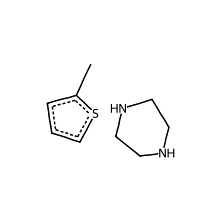 C1CNCCN1.Cc1cccs1